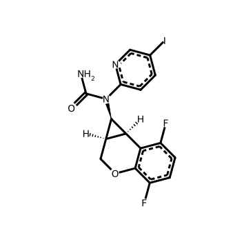 NC(=O)N(c1ccc(I)cn1)[C@@H]1[C@@H]2COc3c(F)ccc(F)c3[C@@H]21